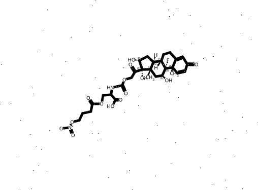 C[C@]12C=CC(=O)C=C1CC[C@H]1[C@@H]3C[C@@H](O)[C@](O)(C(=O)COC(=O)NC(COC(=O)CCCO[N+](=O)[O-])C(=O)O)[C@@]3(C)C[C@H](O)[C@@]12F